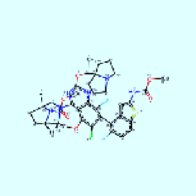 CC(Oc1nc2c3c(c(Cl)c(-c4c(F)ccc5sc(NC(=O)OC(C)(C)C)cc45)c(F)c3n1)OC[C@@H]1[C@@H]3CC[C@H](CN21)N3C(=O)OC(C)(C)C)C12CCCN1CCC2